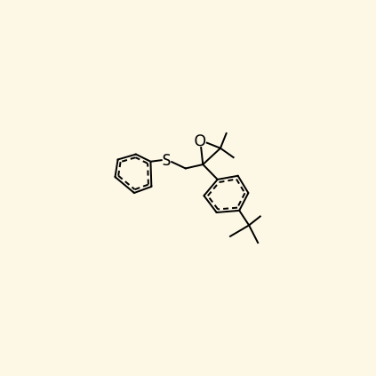 CC(C)(C)c1ccc(C2(CSc3ccccc3)OC2(C)C)cc1